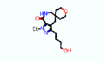 CCn1nc(CCCCO)c2c1C(=O)NCC1(CCOCC1)C2